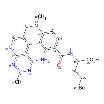 Cc1nc(N)c2cc(CN(C)c3ccc(C(=O)NC(CCC(C)(C)C)C(=O)O)cc3)cnc2n1